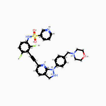 O=S(=O)(Nc1ccc(F)c(C#Cc2ccc3c(n2)N(c2ccc(CN4CCOCC4)cc2)NC3)c1F)c1cccnc1